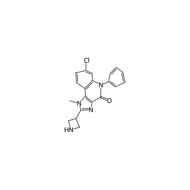 Cn1c(C2CNC2)nc2c(=O)n(-c3ccccc3)c3cc(Cl)ccc3c21